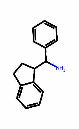 NC(c1ccccc1)C1CCc2ccccc21